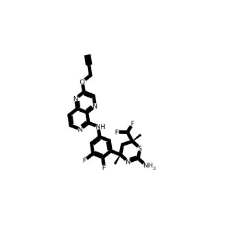 C#CCOc1cnc2c(Nc3cc(F)c(F)c([C@]4(C)C[C@](C)(C(F)F)SC(N)=N4)c3)nccc2n1